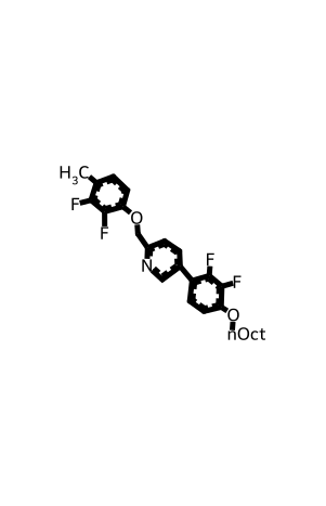 CCCCCCCCOc1ccc(-c2ccc(COc3ccc(C)c(F)c3F)nc2)c(F)c1F